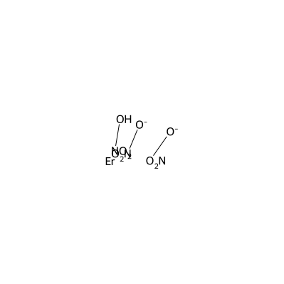 O=[N+]([O-])O.O=[N+]([O-])[O-].O=[N+]([O-])[O-].[Er]